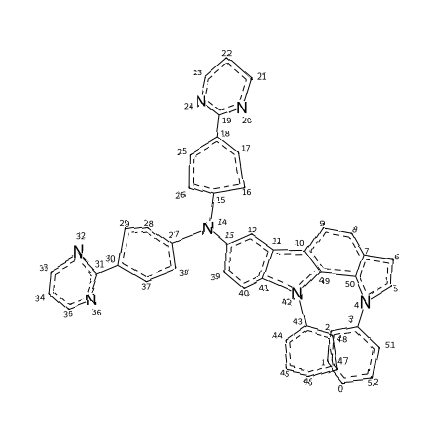 c1ccc(-n2ccc3ccc4c5cc(N(c6ccc(-c7ncccn7)cc6)c6ccc(-c7ncccn7)cc6)ccc5n(-c5ccccc5)c4c32)cc1